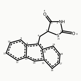 O=C1NC(=O)C(Cc2c3ccccc3cc3ccccc23)S1